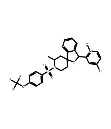 CC1CC2(CCN1S(=O)(=O)c1ccc(OC(F)(F)F)cc1)OC(c1cc(Cl)cc[n+]1[O-])c1ccccc12